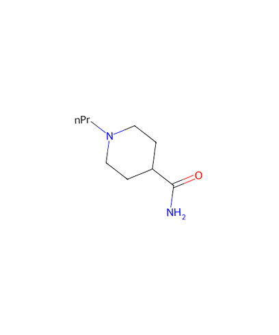 CCCN1CCC(C(N)=O)CC1